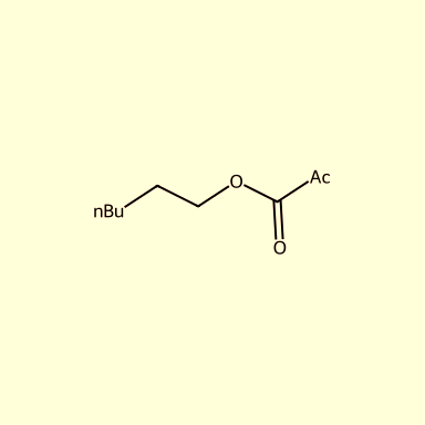 CCCCCCOC(=O)C(C)=O